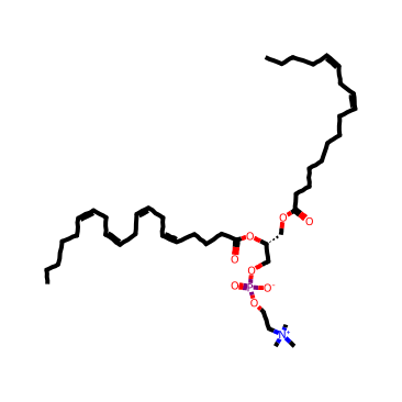 CCCC/C=C\C/C=C\CCCCCCCC(=O)OC[C@H](COP(=O)([O-])OCC[N+](C)(C)C)OC(=O)CCC/C=C\C/C=C\C/C=C\C/C=C\CCCCC